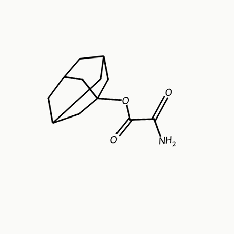 NC(=O)C(=O)OC12CC3CC(CC(C3)C1)C2